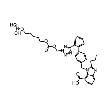 CCOc1nc2cccc(C(=O)O)c2n1Cc1ccc(-c2ccccc2-c2nnn(COC(=O)OCCCCCON(O)O)n2)cc1